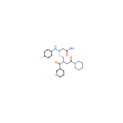 [NH]C(=O)CC(Nc1ccc(F)cc1)SCC(CC(=O)N1CCCCC1)C(=O)c1cccnc1